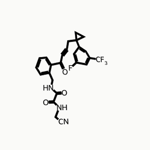 N#CCNC(=O)C(=O)NCc1ccccc1C(=O)C#CCC1(c2cc(F)cc(C(F)(F)F)c2)CC1